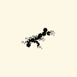 C=C/C=C(\C=C/C)n1c2ccccc2c2cc(-c3ccc4c(c3)C(C)(C)C(/C=C(\C=C)N3c5ccc(/C(C=C)=C6\Sc7ccccc7C6CC)cc5CC3C=C/C=C\CC)=C4C)ccc21